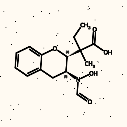 CCC(C)(C(=O)O)[C@H]1Oc2ccccc2C[C@@H]1N(O)C=O